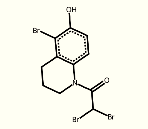 O=C(C(Br)Br)N1CCCc2c1ccc(O)c2Br